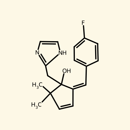 CC1(C)C=CC(=Cc2ccc(F)cc2)C1(O)Cc1ncc[nH]1